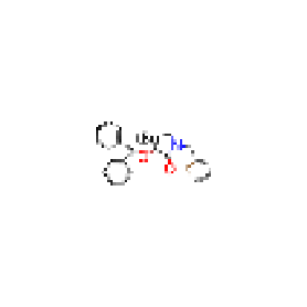 CC(C)(C)[Si](OC1CCN(Cc2cccs2)C1=O)(c1ccccc1)c1ccccc1